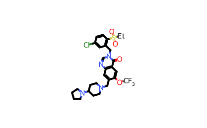 CCS(=O)(=O)c1ccc(Cl)cc1Cn1cnc2cc(CN3CCC(N4CCCC4)CC3)c(OC(F)(F)F)cc2c1=O